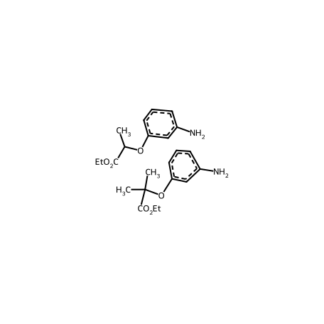 CCOC(=O)C(C)(C)Oc1cccc(N)c1.CCOC(=O)C(C)Oc1cccc(N)c1